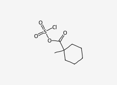 CC1(C(=O)OS(=O)(=O)Cl)CCCCC1